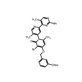 COc1cccc(COc2cc(C)n(-c3cc(-c4nc(C(C)C)ncc4C)ncc3C)c(=O)c2Br)c1